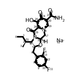 CC[C@H](C)[C@H]1C(Cc2ccc(F)cc2F)O[C@@H]2Cn3cc(C(N)=O)c(=O)c(O)c3C(=O)N12.[Na]